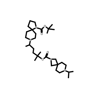 CC(C)N1CCC2(CC1)CN(C(=O)OC(C)(C)CCC(C)N1CCC3(CCCN3C(=O)OC(C)(C)C)CC1)C2